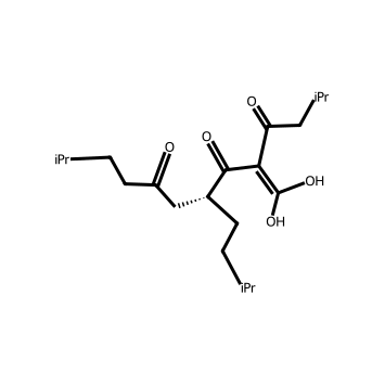 CC(C)CCC(=O)C[C@@H](CCC(C)C)C(=O)C(C(=O)CC(C)C)=C(O)O